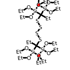 CCO[Si](OCC)(OCC)C(CC)(SSSSC(CC)([Si](OCC)(OCC)OCC)[Si](OCC)(OCC)OCC)[Si](OCC)(OCC)OCC